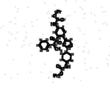 CC(C)OC(=O)Nc1ccc(-c2cnc([C@H]3CC[C@H](NC(=O)OC(C)C)CC3)s2)c(S(=O)(=O)C(C)c2ccccc2)c1